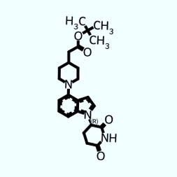 CC(C)(C)OC(=O)CC1CCN(c2cccc3c2ccn3[C@@H]2CCC(=O)NC2=O)CC1